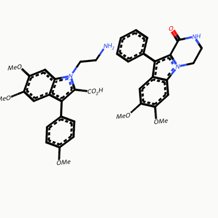 COc1cc2c(-c3ccccc3)c3n(c2cc1OC)CCNC3=O.COc1ccc(-c2c(C(=O)O)n(CCN)c3cc(OC)c(OC)cc23)cc1